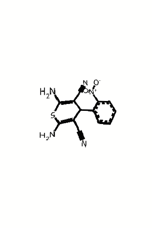 N#CC1=C(N)SC(N)=C(C#N)C1c1ccccc1[N+](=O)[O-]